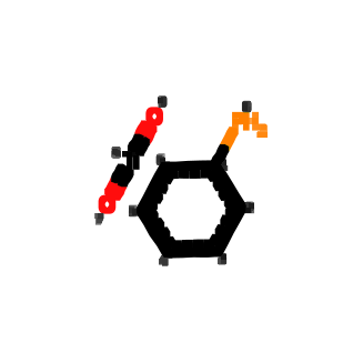 Pc1ccccc1.[O]=[Ti]=[O]